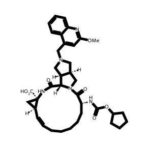 COc1cc(CN2C[C@H]3CN4C(=O)[C@H](NC(=O)OC5CCCC5)CCCCC/C=C\[C@H]5C[C@@]5(C(=O)O)NC(=O)[C@@H]4[C@H]3C2)c2ccccc2n1